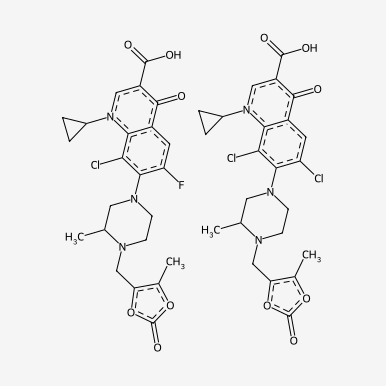 Cc1oc(=O)oc1CN1CCN(c2c(Cl)cc3c(=O)c(C(=O)O)cn(C4CC4)c3c2Cl)CC1C.Cc1oc(=O)oc1CN1CCN(c2c(F)cc3c(=O)c(C(=O)O)cn(C4CC4)c3c2Cl)CC1C